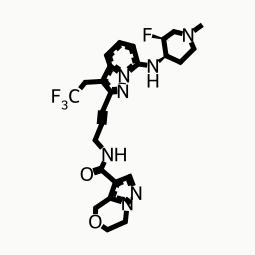 CN1CC[C@@H](Nc2cccc3c(CC(F)(F)F)c(C#CCNC(=O)c4cnn5c4COCC5)nn23)[C@@H](F)C1